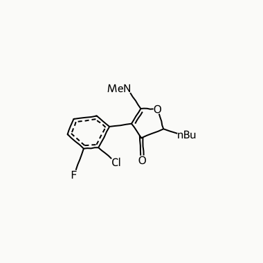 CCCCC1OC(NC)=C(c2cccc(F)c2Cl)C1=O